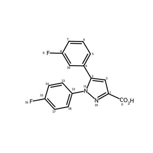 O=C(O)c1cc(-c2cccc(F)c2)n(-c2ccc(F)cc2)n1